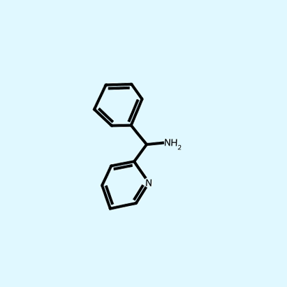 NC(c1ccccc1)c1ccccn1